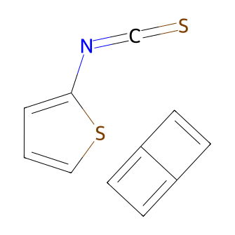 S=C=Nc1cccs1.c1cc2ccc1-2